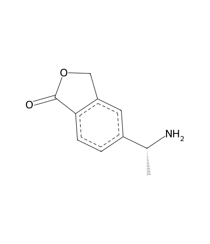 C[C@@H](N)c1ccc2c(c1)COC2=O